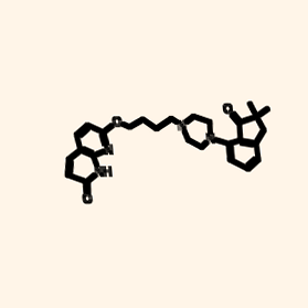 CC1(C)Cc2cccc(N3CCN(CCCCOc4ccc5ccc(=O)[nH]c5n4)CC3)c2C1=O